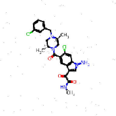 CNC(=O)C(=O)c1cn(N)c2cc(Cl)c(C(=O)N3C[C@H](C)N(Cc4cccc(Cl)c4)C[C@H]3C)cc12